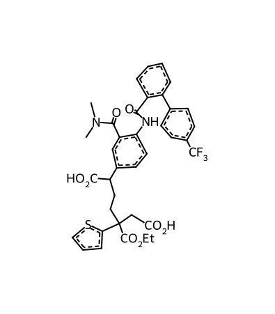 CCOC(=O)C(CCC(C(=O)O)c1ccc(NC(=O)c2ccccc2-c2ccc(C(F)(F)F)cc2)c(C(=O)N(C)C)c1)(CC(=O)O)c1cccs1